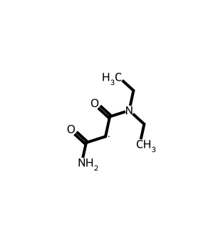 CCN(CC)C(=O)[CH]C(N)=O